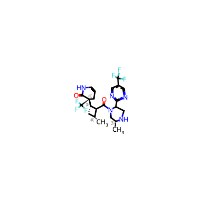 C[C@@H]1C[C@H]([C@@]2(C(F)(F)F)CC=CNC2=O)C1C(=O)N1C[C@H](C)NCC1c1ncc(C(F)(F)F)cn1